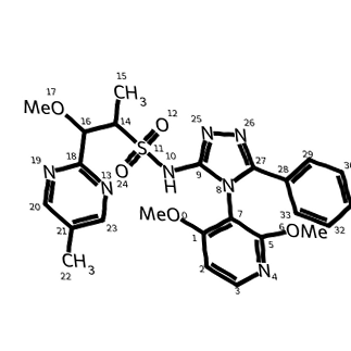 COc1ccnc(OC)c1-n1c(NS(=O)(=O)C(C)C(OC)c2ncc(C)cn2)nnc1-c1ccccc1